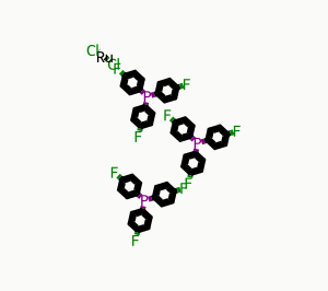 Fc1ccc(P(c2ccc(F)cc2)c2ccc(F)cc2)cc1.Fc1ccc(P(c2ccc(F)cc2)c2ccc(F)cc2)cc1.Fc1ccc(P(c2ccc(F)cc2)c2ccc(F)cc2)cc1.[Cl][Ru][Cl]